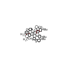 CC(C)(C)c1ccc(N2c3cc(N4c5ccc(C(C)(C)C)cc5C5(C)CCCCC45C)cc4c3B(c3cc5c(cc3N4c3cccc4oc6ccccc6c34)C(C)(C)CCC5(C)C)c3ccc4sc5ccc(C(C)(C)C)cc5c4c32)c(-c2ccccc2)c1